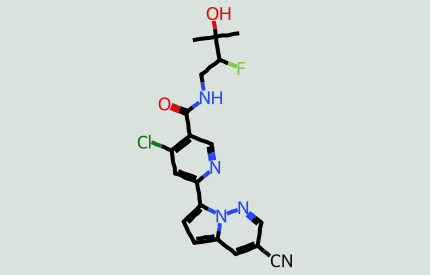 CC(C)(O)C(F)CNC(=O)c1cnc(-c2ccc3cc(C#N)cnn23)cc1Cl